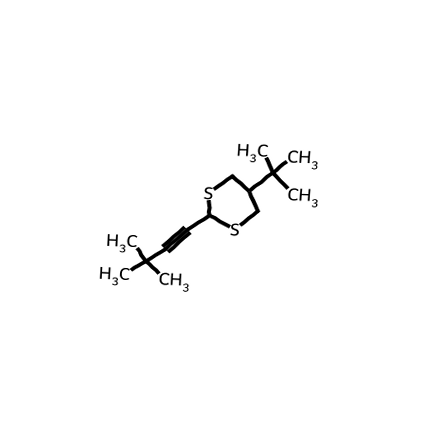 CC(C)(C)C#CC1SCC(C(C)(C)C)CS1